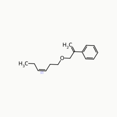 C=C(COCC/C=C\CC)c1ccccc1